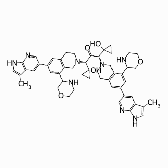 Cc1c[nH]c2ncc(-c3cc4c(c(C5COCCN5)c3)CN([C@@H](C(=O)[C@H](N3CCc5cc(-c6cnc7[nH]cc(C)c7c6)cc(C6COCCN6)c5C3)C3(O)CC3)C3(O)CC3)CC4)cc12